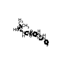 CCC(C)OP(=O)(O)CCNC1CCN(S(=O)(=O)c2ccc(Nc3nccc(Nc4ccc(F)cc4)n3)cc2)CC1